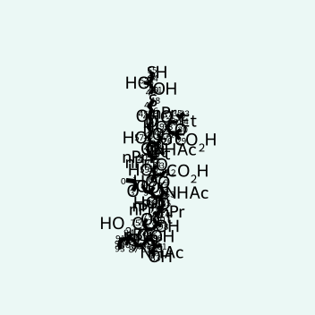 C=CC(=O)OCC1O[C@@H](O[C@H]2C(C(=O)O)O[C@@H](C(CC)(CCC)C(CC)(CCC)OC3C(NC(C)=O)[C@H](O[C@H]4C(C(=O)O)O[C@@H](C(C)(CC)CCC)[C@@H](O)C4O)OC(COC(=O)CCSCC(O)C(O)CS)[C@H]3O)C(O)C2O)C(NC(C)=O)C(OC(CCC)(CCC)C(CC)(CCC)[C@@H]2OC(C(=O)O)[C@H](O[C@H](OC(C)CO)C(NC(C)=O)[C@@H](C)OC(C)(/C=C\C)CCCC)C(O)C2O)[C@@H]1O